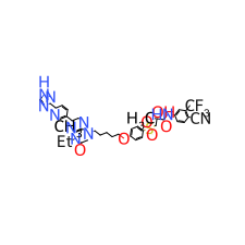 CCN1C(=O)CN(CCCCCOc2ccc(S(=O)(=O)C[C@](C)(O)C(=O)Nc3ccc(C#N)c(C(F)(F)F)c3)cc2)c2ncc(-c3ccc(-c4nc[nH]n4)nc3C)nc21